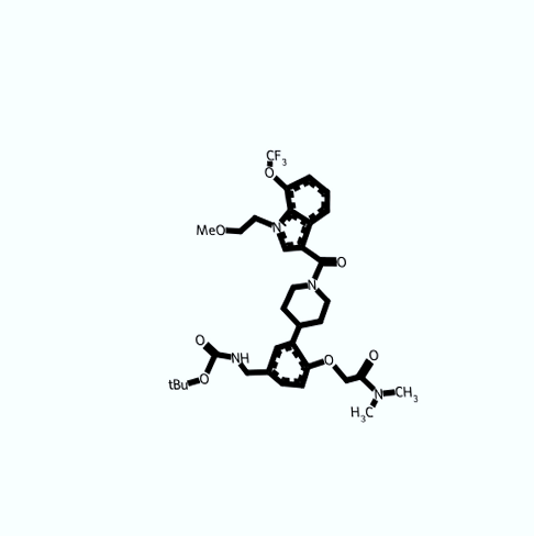 COCCn1cc(C(=O)N2CCC(c3cc(CNC(=O)OC(C)(C)C)ccc3OCC(=O)N(C)C)CC2)c2cccc(OC(F)(F)F)c21